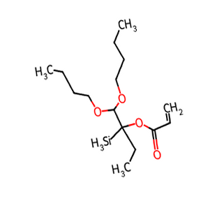 C=CC(=O)OC([SiH3])(CC)C(OCCCC)OCCCC